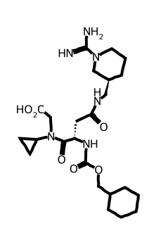 N=C(N)N1CCC[C@@H](CNC(=O)C[C@H](NC(=O)OCC2CCCCC2)C(=O)N(CC(=O)O)C2CC2)C1